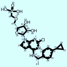 C[C@H](Nc1nc(Cl)nc2c1ccn2[C@@H]1O[C@H](COCP(=O)(O)O)[C@@H](O)[C@H]1O)c1ccc(C2CC2)cc1